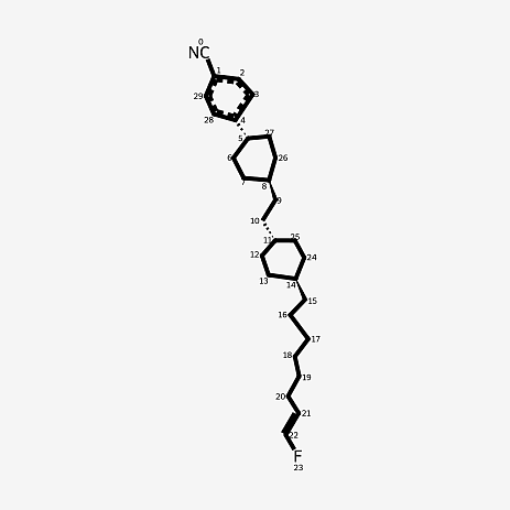 N#Cc1ccc([C@H]2CC[C@H](CC[C@H]3CC[C@H](CCCCCC/C=C/F)CC3)CC2)cc1